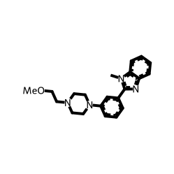 COCCN1CCN(c2cccc(-c3nc4ccccc4n3C)c2)CC1